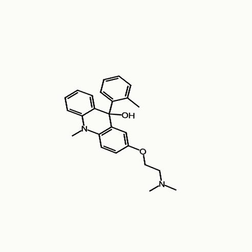 Cc1ccccc1C1(O)c2ccccc2N(C)c2ccc(OCCN(C)C)cc21